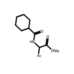 COC(=O)C(NC(=O)C1CCCCC1)C(C)=O